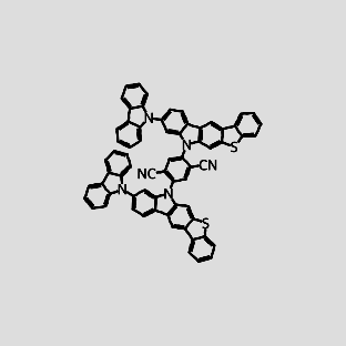 N#Cc1cc(-n2c3cc(-n4c5ccccc5c5ccccc54)ccc3c3cc4c(cc32)sc2ccccc24)c(C#N)cc1-n1c2cc(-n3c4ccccc4c4ccccc43)ccc2c2cc3c(cc21)sc1ccccc13